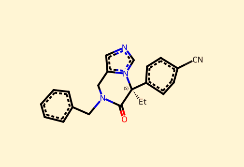 CC[C@]1(c2ccc(C#N)cc2)C(=O)N(Cc2ccccc2)Cc2cncn21